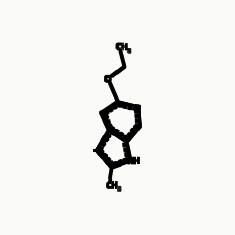 CCOc1ccc2[nH]c(C)[c]c2c1